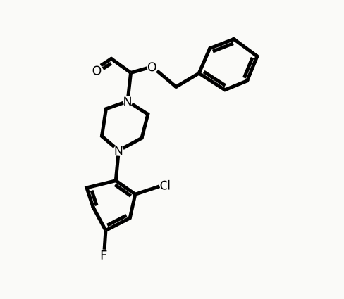 O=CC(OCc1ccccc1)N1CCN(c2ccc(F)cc2Cl)CC1